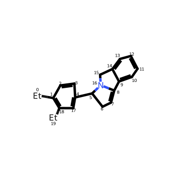 CCc1ccc(C2CC=C3c4ccccc4CN32)cc1CC